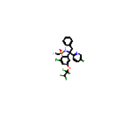 O=S(=O)(CC(F)(F)F)NC(Cc1ccccc1)(c1cc(F)cc(OC(F)(F)C(F)F)c1)c1ccc(Cl)cn1